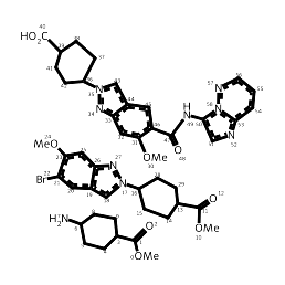 COC(=O)C1CCC(N)CC1.COC(=O)C1CCC(n2cc3cc(Br)c(OC)cc3n2)CC1.COc1cc2nn(C3CCC(C(=O)O)CC3)cc2cc1C(=O)Nc1cnc2cccnn12